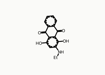 CCNc1cc(O)c2c(c1O)C(=O)c1ccccc1C2=O